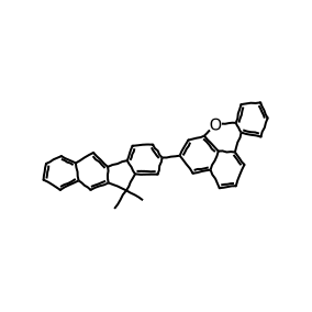 CC1(C)c2cc(-c3cc4c5c(cccc5c3)-c3ccccc3O4)ccc2-c2cc3ccccc3cc21